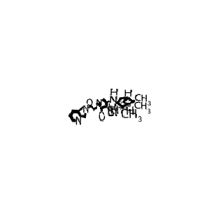 C[C@@H]1[C@H]2C[C@@H](C[C@H]1Nc1cnn(CC(=O)N3Cc4cccnc4C3)c(=O)c1Br)C2(C)C